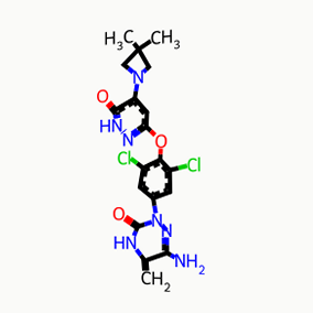 C=C1NC(=O)N(c2cc(Cl)c(Oc3cc(N4CC(C)(C)C4)c(=O)[nH]n3)c(Cl)c2)N=C1N